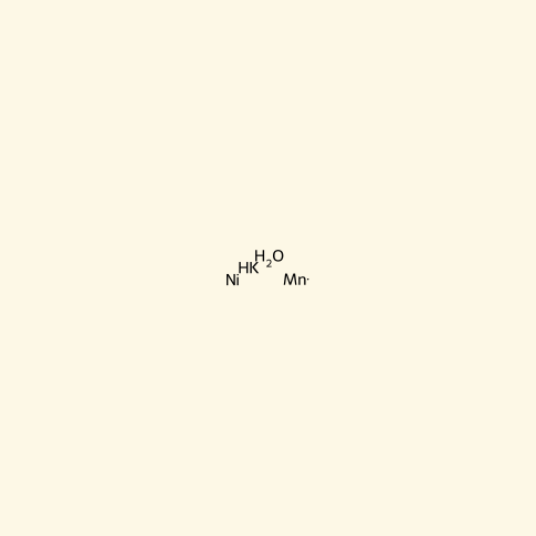 O.[KH].[Mn].[Ni]